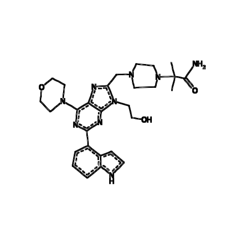 CC(C)(C(N)=O)N1CCN(Cc2nc3c(N4CCOCC4)nc(-c4cccc5[nH]ccc45)nc3n2CCO)CC1